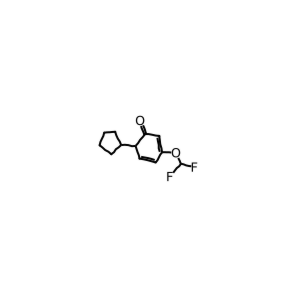 O=C1C=C(OC(F)F)C=CC1C1CCCC1